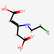 O=C(O)C=C(CC(=O)O)NCCBr